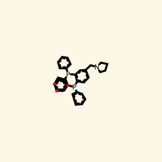 c1ccc(P(c2ccccc2)c2ccc(CN3CCCC3)cc2P(c2ccccc2)c2ccccc2)cc1